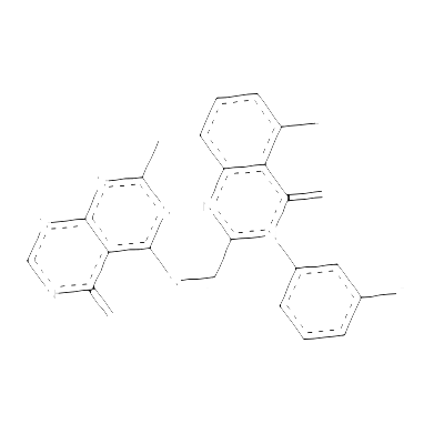 Cc1nc(N[C@@H](C)c2nc3cccc(Cl)c3c(=O)n2-c2cccc(F)c2)c2c(=O)nc[nH]c2n1